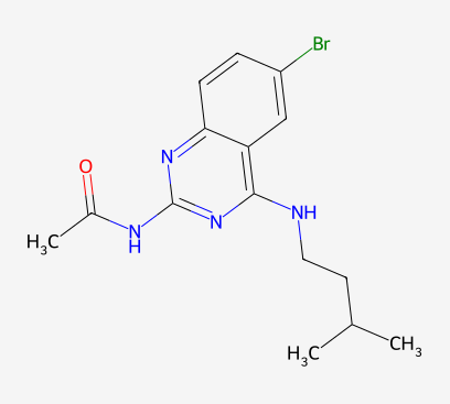 CC(=O)Nc1nc(NCCC(C)C)c2cc(Br)ccc2n1